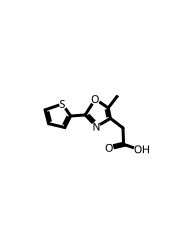 Cc1oc(-c2cccs2)nc1CC(=O)O